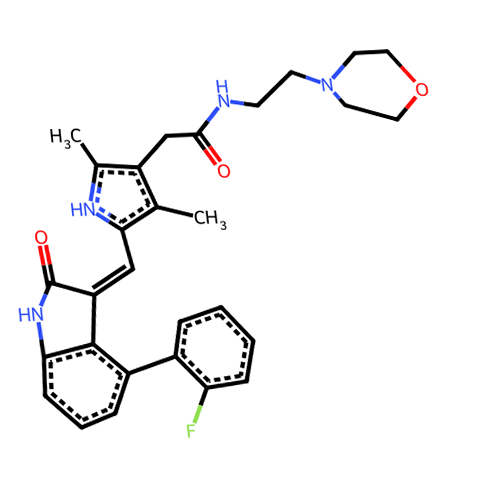 Cc1[nH]c(/C=C2\C(=O)Nc3cccc(-c4ccccc4F)c32)c(C)c1CC(=O)NCCN1CCOCC1